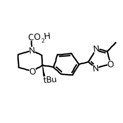 Cc1nc(-c2ccc([C@@]3(C(C)(C)C)CN(C(=O)O)CCO3)cc2)no1